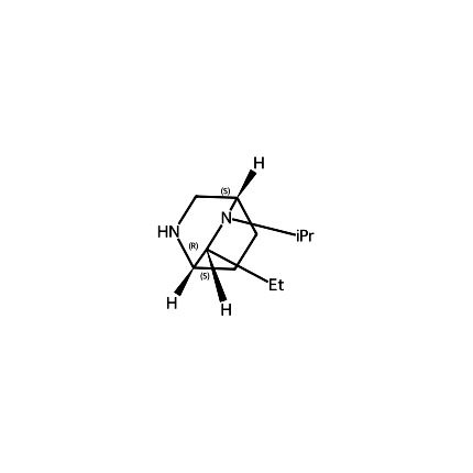 CC[C@@H]1[C@@H]2CC[C@@H](CN2)N1C(C)C